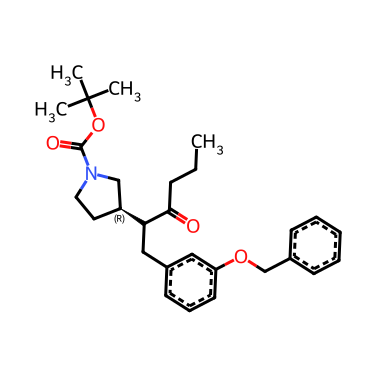 CCCC(=O)C(Cc1cccc(OCc2ccccc2)c1)[C@H]1CCN(C(=O)OC(C)(C)C)C1